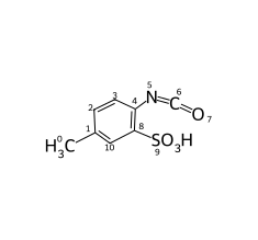 Cc1ccc(N=C=O)c(S(=O)(=O)O)c1